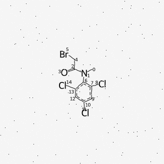 CN(C(=O)CBr)c1c(Cl)cc(Cl)cc1Cl